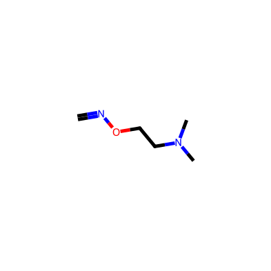 C=NOCCN(C)C